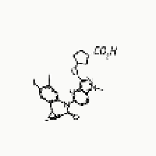 CC#CC(=O)N(c1ccc2c(n1)c(O[C@H]1CC[C@H](C(=O)O)C1)nn2C)c1cc(C)c(I)cc1C1CC1